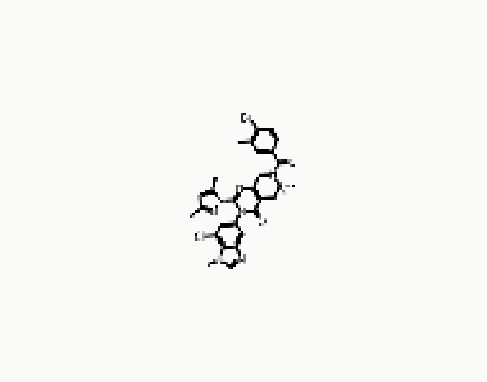 Cc1cc(C)n(-c2nc3c(c(=O)n2-c2cc(Cl)c4c(c2)ncn4C)C[C@@H](C)N(C(=O)c2ccc(Br)c(C)c2)C3)n1